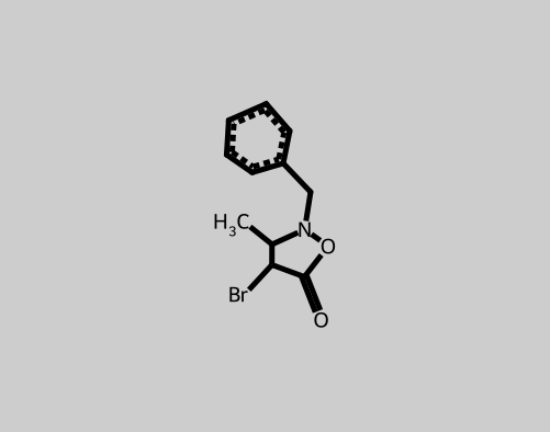 CC1C(Br)C(=O)ON1Cc1ccccc1